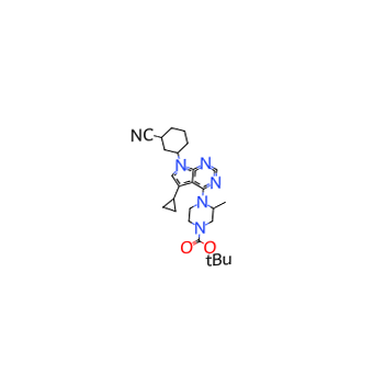 CC1CN(C(=O)OC(C)(C)C)CCN1c1ncnc2c1c(C1CC1)cn2C1CCCC(C#N)C1